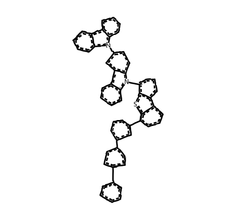 c1ccc(-c2ccc(-c3cccc(-c4cccc5c4sc4c(-n6c7ccccc7c7cc(-n8c9ccccc9c9ccccc98)ccc76)cccc45)c3)cc2)cc1